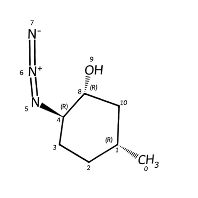 C[C@@H]1CC[C@@H](N=[N+]=[N-])[C@H](O)C1